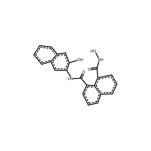 O=C(NO)c1cccc2cccc(C(=O)Nc3cc4ccccc4cc3O)c12